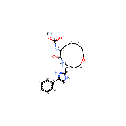 COC(=O)N[C@H]1CCCCCOCC[C@@H](c2ncc(-c3ccccc3)[nH]2)NC1=O